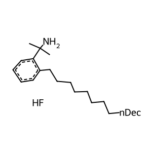 CCCCCCCCCCCCCCCCCCc1ccccc1C(C)(C)N.F